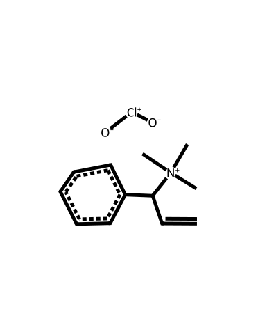 C=CC(c1ccccc1)[N+](C)(C)C.[O-][Cl+][O-]